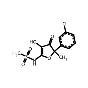 CC1(c2cccc(Cl)c2)OC(NS(C)(=O)=O)=C(O)C1=O